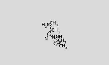 CSc1cccc(CC2CNCCN2Cc2cc(N(C)CCN(C)C)ccc2C#N)c1SC